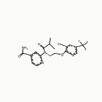 CC(C)C(=O)N(CCOc1ncc(C(F)(F)F)cc1Cl)c1cc(C(N)=O)ccn1